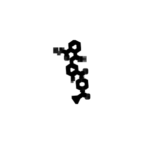 N=C(Cc1ccc(F)c(C(=O)N2CCN(C(=O)C3CC3)CC2)c1)C1C=CC=CC1C(N)=O